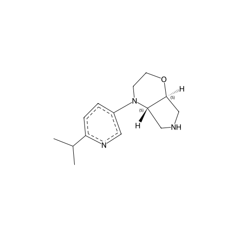 CC(C)c1ccc(N2CCO[C@H]3CNC[C@@H]32)cn1